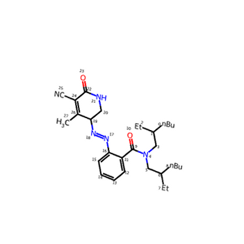 CCCCC(CC)CN(CC(CC)CCCC)C(=O)c1ccccc1/N=N/C1CNC(=O)C(C#N)=C1C